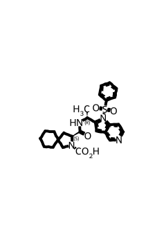 C[C@@H](NC(=O)[C@@H]1CC2(CCCCC2)CN1C(=O)O)c1cc2cnccc2n1S(=O)(=O)c1ccccc1